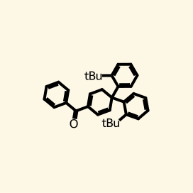 CC(C)(C)c1ccccc1C1(c2ccccc2C(C)(C)C)C=CC(C(=O)c2ccccc2)=CC1